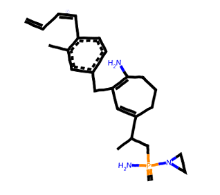 C=C/C=C\c1ccc(CC2=C(N)CCCC(C(C)CP(=C)(N)N3CC3)=C2)cc1C